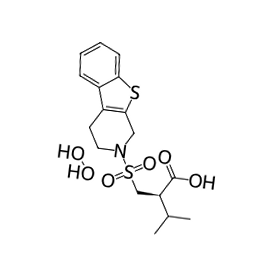 CC(C)[C@@H](CS(=O)(=O)N1CCc2c(sc3ccccc23)C1)C(=O)O.OO